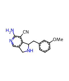 COc1cccc(CC2NCc3cnc(N)c(C#N)c32)c1